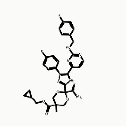 CC1(C(=O)OCC2CC2)COC(C(N)=O)(c2nc(-c3ccc(F)cc3)c(-c3ccnc(NCc4ccc(F)cc4)n3)[nH]2)OC1